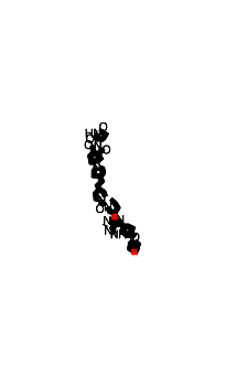 Nc1ncnc2c1c(-c1ccc(Oc3ccccc3)cc1)nn2C1CCCN(C(=O)N2CCC(CCC3CCN(c4ccc5c(c4)C(=O)N(C4CCC(=O)NC4=O)C5=O)CC3)CC2)C1